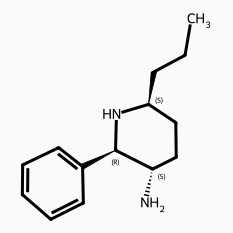 CCC[C@H]1CC[C@H](N)[C@@H](c2ccccc2)N1